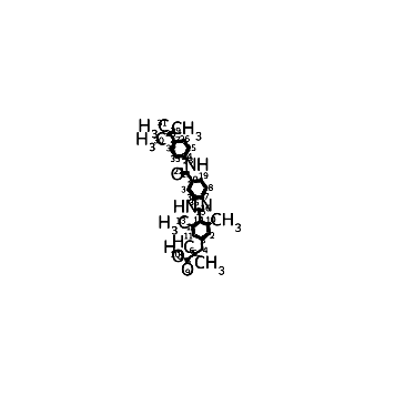 Cc1cc(CC(C)(C)C(=O)O)cc(C)c1-c1nc2ccc(C(=O)Nc3ccc(C(C)(C)C)cc3)cc2[nH]1